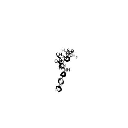 C=CCn1c(=O)c2cnc(Nc3ccc(N4CCN(C5CN6CCC5C6)CC4)cc3)nc2n1-c1cccc(N=S(C)(C)=O)n1